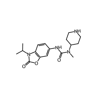 CC(C)n1c(=O)oc2cc(NC(=O)N(C)C3CCNCC3)ccc21